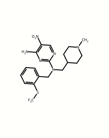 CN1CCC(CN(Cc2ccccc2SC(F)(F)F)c2ncc([N+](=O)[O-])c(N)n2)CC1